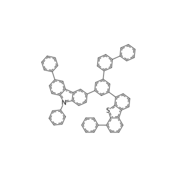 c1ccc(-c2cccc(-c3cc(-c4ccc5c(c4)c4cc(-c6ccccc6)ccc4n5-c4ccccc4)cc(-c4cccc5c4sc4c(-c6ccccc6)cccc45)c3)c2)cc1